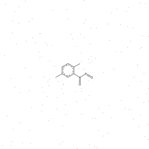 Cc1ccc(C)c(C(=O)P=O)c1